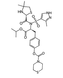 Cc1n[nH]cc1S(=O)(=O)N(C(=O)[C@H]1NC(C)(C)CS1)[C@@H](Cc1ccc(OC(=O)N2CCSCC2)cc1)C(=O)OC(C)C